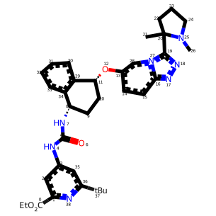 CCOC(=O)c1cc(NC(=O)N[C@H]2CC[C@@H](Oc3ccc4nnc(C5(C)CCCN5C)n4c3)c3ccccc32)cc(C(C)(C)C)n1